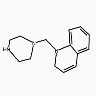 C1=Cc2ccccc2N(CN2CCNCC2)C1